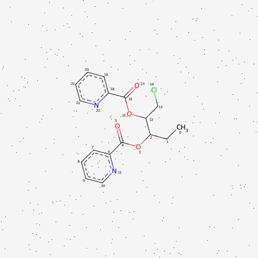 CCC(OC(=O)c1ccccn1)C(CCl)OC(=O)c1ccccn1